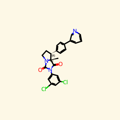 C[C@@]12C(=O)N(c3cc(Cl)cc(Cl)c3)C(=O)N1CC[C@@H]2c1ccc(-c2cccnc2)cc1